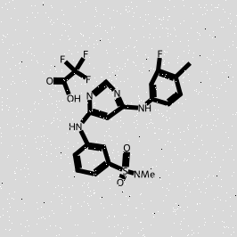 CNS(=O)(=O)c1cccc(Nc2cc(Nc3ccc(C)c(F)c3)ncn2)c1.O=C(O)C(F)(F)F